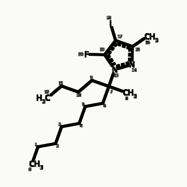 CCCCCCCC(C)(CCCC)n1nc(C)c(I)c1F